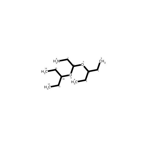 CCC(CC)OC(CN)OC(CC)CC